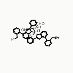 CC(C)Cc1ccccc1-c1cccc2c1C=C(c1ccccc1)[CH]2[Hf]([Cl])([Cl])([B](NC=O)NC=O)[CH]1C(c2ccccc2)=Cc2c(-c3ccccc3CC(C)C)cccc21